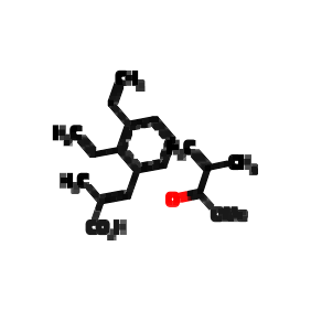 C=C(C)C(=O)OC.C=Cc1cccc(C=C(C)C(=O)O)c1C=C